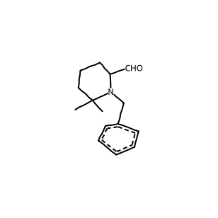 CC1(C)CCCC(C=O)N1Cc1ccccc1